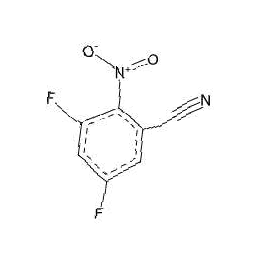 N#Cc1cc(F)cc(F)c1[N+](=O)[O-]